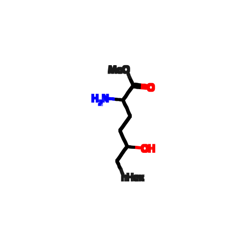 CCCCCCCC(O)CCC(N)C(=O)OC